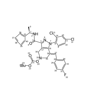 C[C@@H](NC(=O)c1nn(-c2ccc(Cl)cc2Cl)c2c1CN(OC(=O)OC(C)(C)C)C/C2=C\c1ccc(F)cc1)c1ccccc1